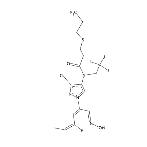 C\C=C(F)/C=C(\C=N\O)n1cc(N(CC(I)(I)I)C(=O)CCSCCC(F)(F)F)c(Cl)n1